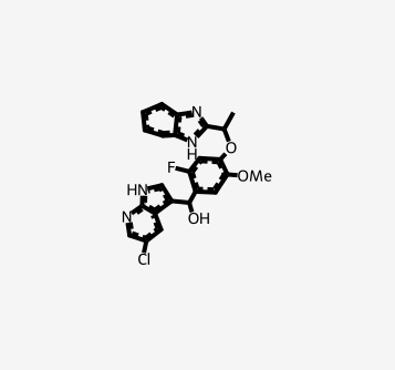 COc1cc(C(O)c2c[nH]c3ncc(Cl)cc23)c(F)cc1OC(C)c1nc2ccccc2[nH]1